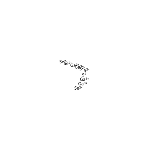 [Ga+3].[Ga+3].[Ga+3].[Ga+3].[S-2].[S-2].[S-2].[Se-2].[Se-2].[Se-2]